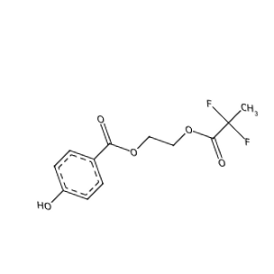 CC(F)(F)C(=O)OCCOC(=O)c1ccc(O)cc1